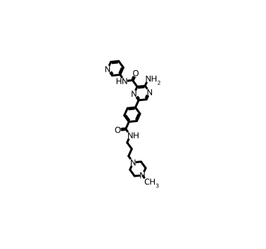 CN1CCN(CCCNC(=O)c2ccc(-c3cnc(N)c(C(=O)Nc4cccnc4)n3)cc2)CC1